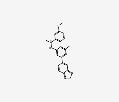 COc1cccc([C@H](C)Nc2cc(-c3ccc4c(c3)=NCN=4)nc(C)n2)c1